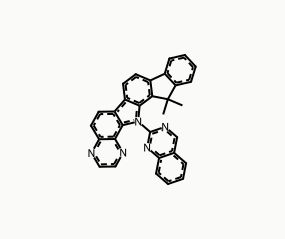 CC1(C)c2ccccc2-c2ccc3c4ccc5nccnc5c4n(-c4ncc5ccccc5n4)c3c21